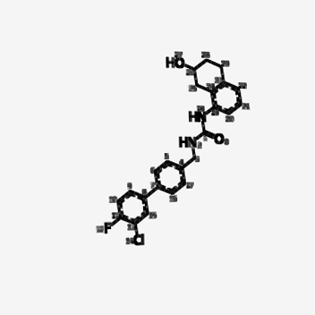 O=C(NCc1ccc(-c2ccc(F)c(Cl)c2)cc1)Nc1cccc2c1CC(O)CC2